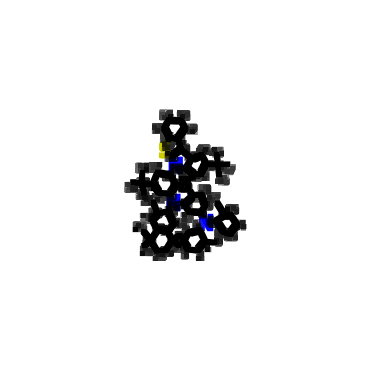 Cc1ccccc1N(c1ccc2c(c1)N(c1cc3c(cc1C)C(C)(C)CCC3(C)C)c1cc(C(C)(C)C)cc3c1B2c1cc(C(C)(C)C)cc2c4c5ccccc5sc4n-3c12)c1ccccc1C